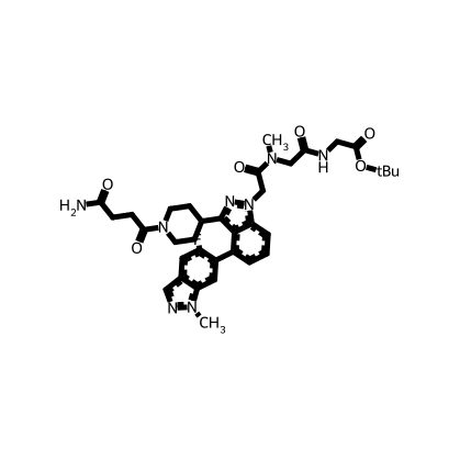 CN(CC(=O)NCC(=O)OC(C)(C)C)C(=O)Cn1nc(C2CCN(C(=O)CCC(N)=O)CC2)c2c(-c3cc4c(cnn4C)cc3F)cccc21